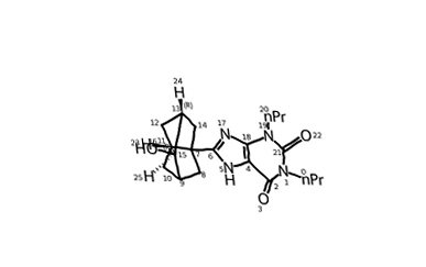 CCCn1c(=O)c2[nH]c(C34CC5C[C@@H]3C[C@H](C4)[C@@H]5O)nc2n(CCC)c1=O